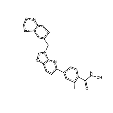 Cc1cc(-c2ccc3ncn(Cc4ccc5ncccc5c4)c3n2)ccc1C(=O)NO